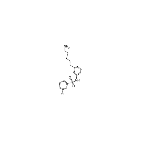 NCCCCCc1cccc(NS(=O)(=O)c2cccc(Cl)c2)c1